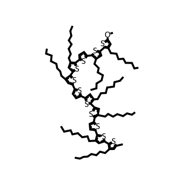 CCCCCCCCc1cc(C)sc1-c1cc(CCCCCCCC)c(-c2ccc(-c3sc(-c4sc(-c5ccc(-c6cc(CCCCCCCC)c(-c7cc(CCCCCCCC)c(-c8ccc(-c9sc(-c%10sc(OC)cc%10CCCCCCCC)cc9CCCCCCCC)s8)s7)s6)s5)cc4CCCCCCCC)cc3CCCCCCCC)s2)s1